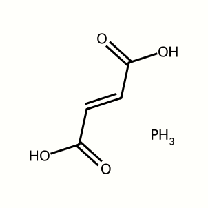 O=C(O)/C=C/C(=O)O.P